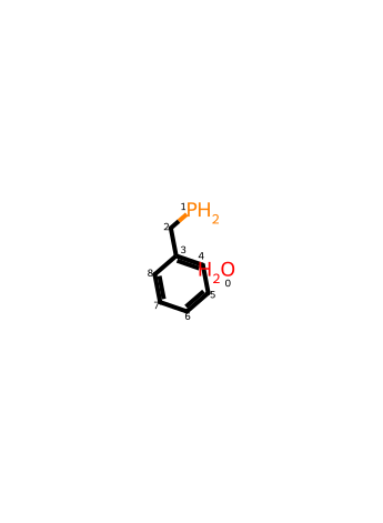 O.PCc1ccccc1